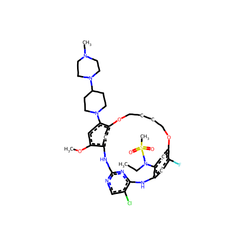 CCN(c1cc2c(F)cc1Nc1nc(ncc1Cl)Nc1cc(c(N3CCC(N4CCN(C)CC4)CC3)cc1OC)OCCCCO2)S(C)(=O)=O